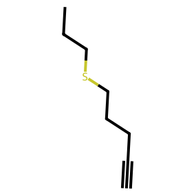 C#CCCCSCCC